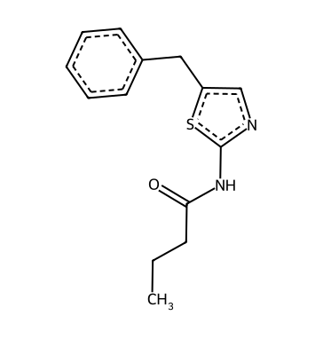 CCCC(=O)Nc1ncc(Cc2ccccc2)s1